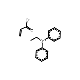 C=CC(=O)[O-].C[CH2][Sn+]([c]1ccccc1)[c]1ccccc1